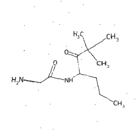 CCCC(NC(=O)CN)C(=O)C(C)(C)C